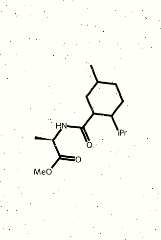 COC(=O)[C@@H](C)NC(=O)C1CC(C)CCC1C(C)C